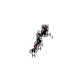 CCc1cc(N2C(=S)N(c3cnc(C#N)c(C(F)(F)F)c3)C(=O)C2(C)C)ccc1OCCN1CCN(CC(=O)Nc2cccc(NC3CCC(=O)NC3=O)c2)[C@@H](C(F)(F)F)C1